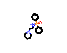 O=P(NCCN1CCCCC1)(c1ccccc1)c1ccccc1